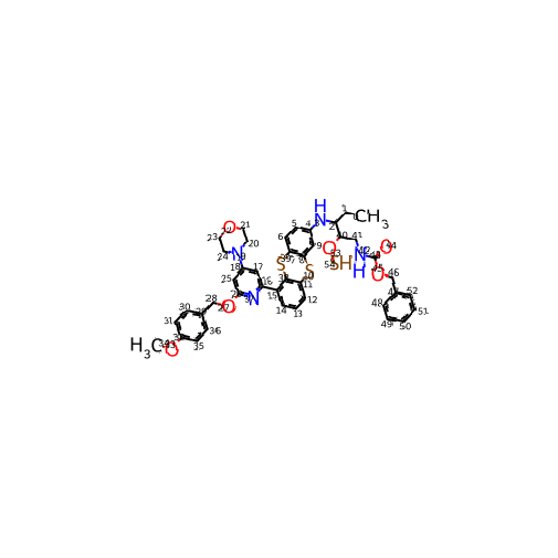 CCC(Nc1ccc2c(c1)Sc1cccc(-c3cc(N4CCOCC4)cc(OCc4ccc(OC)cc4)n3)c1S2)C(CNC(=O)OCc1ccccc1)OS